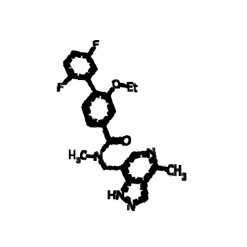 CCOc1cc(C(=O)N(C)Cc2cnc(C)c3cn[nH]c23)ccc1-c1cc(F)ccc1F